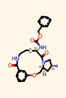 O=C(N[C@H]1CCCNC(=O)c2cccc(c2)OC[C@@H]2C[C@H](I)CN2C1=O)OCc1ccccc1